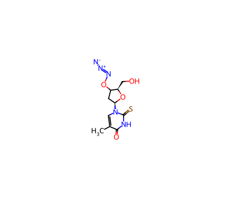 Cc1cn([C@H]2CC(ON=[N+]=[N-])[C@@H](CO)O2)c(=S)[nH]c1=O